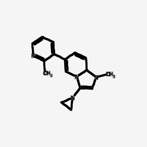 Cc1ncccc1C1=CN2C(N3CC3)=CN(C)C2C=C1